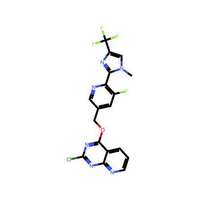 Cn1cc(C(F)(F)F)nc1-c1ncc(COc2nc(Cl)nc3ncccc23)cc1F